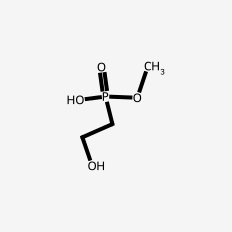 COP(=O)(O)CCO